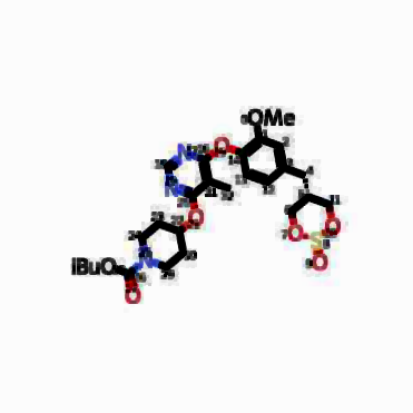 COc1cc(C[C@H]2CO[S@](=O)OC2)ccc1Oc1ncnc(OC2CCN(C(=O)OCC(C)C)CC2)c1C